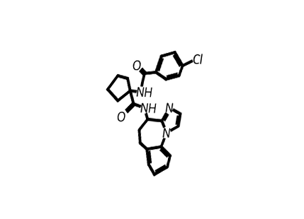 O=C(NC1(C(=O)NC2CCc3ccccc3-n3ccnc32)CCCC1)c1ccc(Cl)cc1